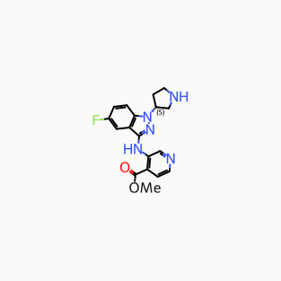 COC(=O)c1ccncc1Nc1nn([C@H]2CCNC2)c2ccc(F)cc12